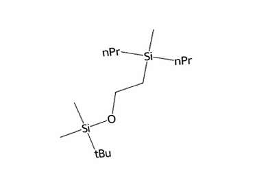 CCC[Si](C)(CCC)CCO[Si](C)(C)C(C)(C)C